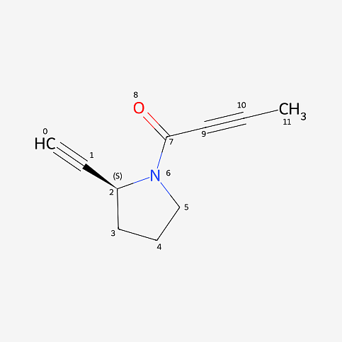 C#C[C@@H]1CCCN1C(=O)C#CC